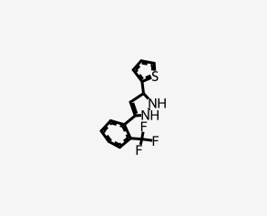 FC(F)(F)c1ccccc1C1=CC(c2cccs2)NN1